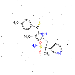 Cc1ccc(C(=S)c2[nH]c(CC(C)(c3cccnc3)S(N)(=O)=O)cc2C)cc1